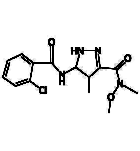 CON(C)C(=O)C1=NNC(NC(=O)c2ccccc2Cl)C1C